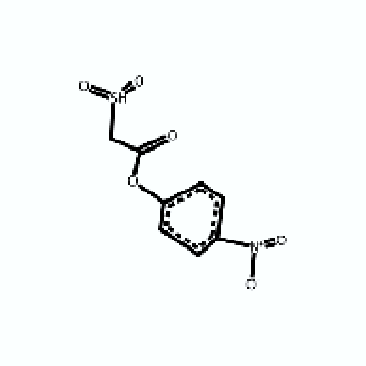 O=C(C[SH](=O)=O)Oc1ccc([N+](=O)[O-])cc1